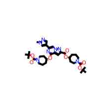 Cn1cc(-c2cn3nc(C(=O)O[C@@H]4CCCN(C(=O)OC(C)(C)C)CC4)cc3c(O[C@@H]3CCCN(C(=O)OC(C)(C)C)CC3)n2)cn1